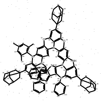 Cc1cc(C)c(N2c3cc4c(cc3B3c5sc6ccccc6c5N(c5ccccc5)c5cc(C67CC8CC(CC(C8)C6)C7)cc2c53)B2c3cc5c(cc3Oc3cc(C67CC8CC(CC(C8)C6)C7)cc(c32)O4)Nc2cc(C34CC6CC(CC(C6)C3)C4)cc3c2B5c2sc4ccccc4c2N3c2ccccc2)c(C)c1